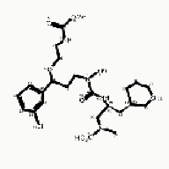 CCCN(CCC(OCCNC(=O)OC)c1cccc(Cl)c1)C(=O)N[C@@H](C[C@H]1CCCOC1)CN(C)C(=O)O